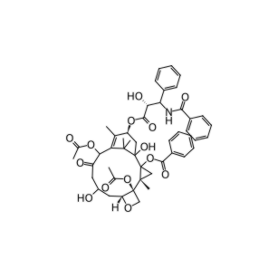 CC(=O)OC1C(=O)CC(O)C[C@H]2OC[C@@]2(OC(C)=O)[C@@]2(C)CC2(OC(=O)c2ccccc2)C2(O)C[C@H](OC(=O)[C@H](O)C(NC(=O)c3ccccc3)c3ccccc3)C(C)=C1C2(C)C